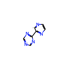 [c]1nccnc1-c1ncncn1